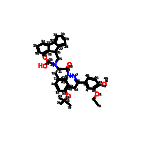 CCOc1cc(C2=NN(C(=O)[C@H](Cc3ccc(OC(C)(C)C)cc3)N(CC3c4ccccc4-c4ccccc43)C(=O)O)CCC2)ccc1OC